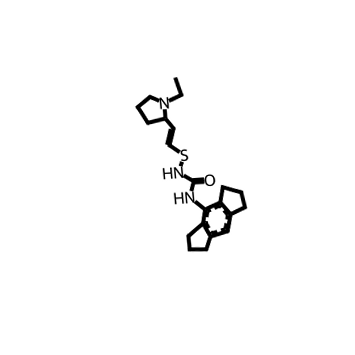 CCN1CCCC1/C=C/SNC(=O)Nc1c2c(cc3c1CCC3)CCC2